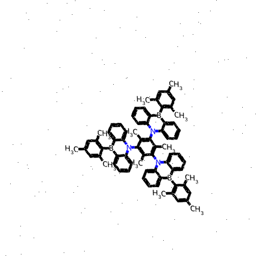 Cc1cc(C)c(B2c3ccccc3N(c3c(C)c(N4c5ccccc5B(c5c(C)cc(C)cc5C)c5ccccc54)c(C)c(N4c5ccccc5B(c5c(C)cc(C)cc5C)c5ccccc54)c3C)c3ccccc32)c(C)c1